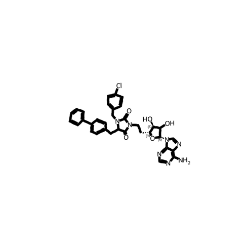 Nc1ncnc2c1ncn2[C@@H]1O[C@H](CCN2C(=O)C(Cc3ccc(-c4ccccc4)cc3)N(Cc3ccc(Cl)cc3)C2=O)[C@@H](O)C1O